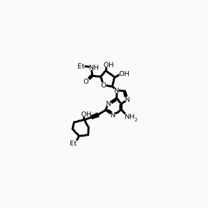 CCNC(=O)C1OC(n2cnc3c(N)nc(C#CC4(O)CCC(CC)CC4)nc32)C(O)C1O